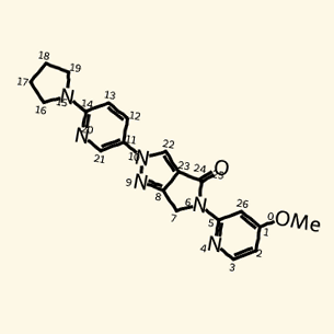 COc1ccnc(N2Cc3nn(-c4ccc(N5CCCC5)nc4)cc3C2=O)c1